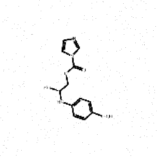 CCCC[C@@H](COC(=O)n1ccnc1)Nc1ccc(C(=O)OCC)cc1